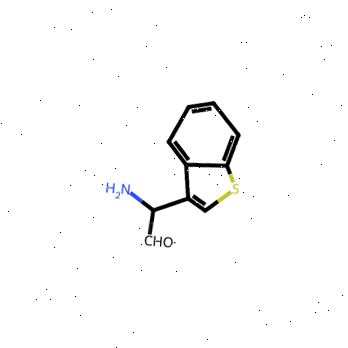 NC([C]=O)c1csc2ccccc12